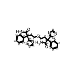 NC(=O)C(CCSCCC(C(N)=O)(c1ccccc1)c1ncns1)(c1ccccc1)c1ncns1